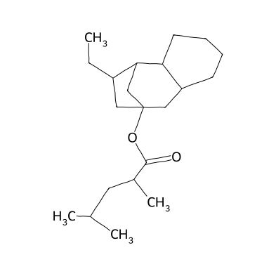 CCC1CC2(OC(=O)C(C)CC(C)C)CC3CCCCC3C1C2